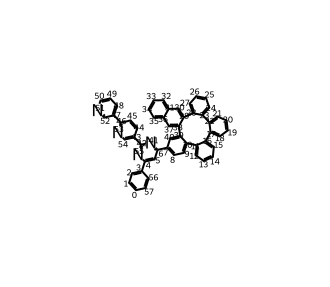 c1ccc(-c2cc(-c3ccc4c5ccccc5c5ccccc5c5ccccc5c5cc6ccccc6cc5c4c3)nc(-c3ccc(-c4cccnc4)nc3)n2)cc1